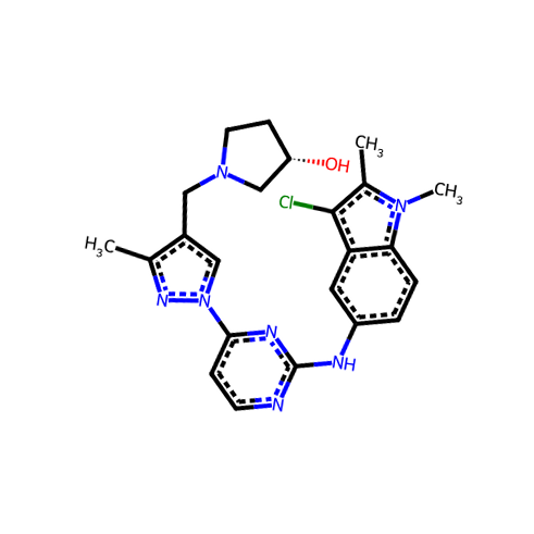 Cc1nn(-c2ccnc(Nc3ccc4c(c3)c(Cl)c(C)n4C)n2)cc1CN1CC[C@H](O)C1